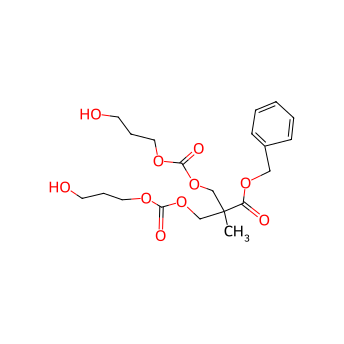 CC(COC(=O)OCCCO)(COC(=O)OCCCO)C(=O)OCc1ccccc1